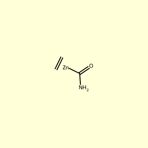 C=C.N[C](=O)[Zn]